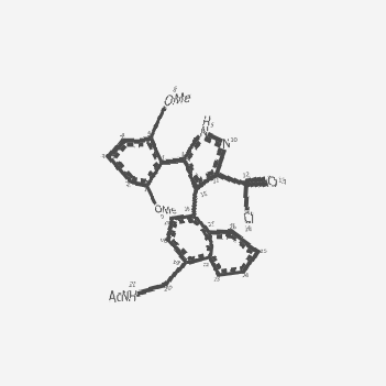 COc1cccc(OC)c1-c1[nH]nc(C(=O)Cl)c1-c1ccc(CNC(C)=O)c2ccccc12